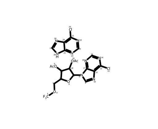 CC(=O)OC1C(COC(F)(F)F)OC(n2cnc3c(Cl)ncnc32)C1OC(C)=O.Clc1ncnc2[nH]cnc12